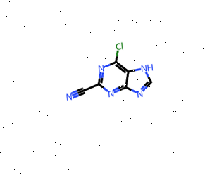 N#Cc1nc(Cl)c2[nH]cnc2n1